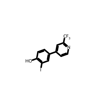 Oc1ccc(-c2ccnc(C(F)(F)F)c2)cc1I